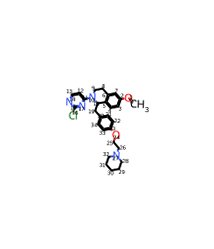 COc1ccc2c(c1)CCN(c1ccnc(Cl)n1)C2Cc1ccc(OCCN2CCCCC2)cc1